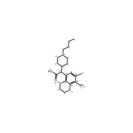 CCCCN1CCC(C(C(=O)O)c2cc(I)c(N)c3c2OCCO3)CC1